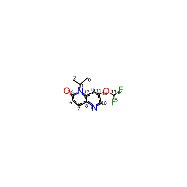 CC(C)n1c(=O)ccc2ncc(OC(F)F)cc21